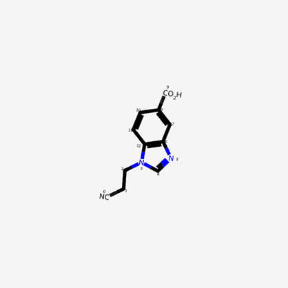 N#CCCn1cnc2cc(C(=O)O)ccc21